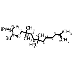 C=C(C)C/C=C/CC(C)(C)CCC(C)(C)COP(C(C)CC)N(C(C)C)C(C)C